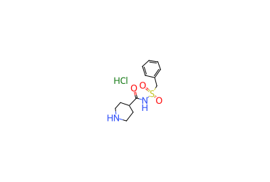 Cl.O=C(NS(=O)(=O)Cc1ccccc1)C1CCNCC1